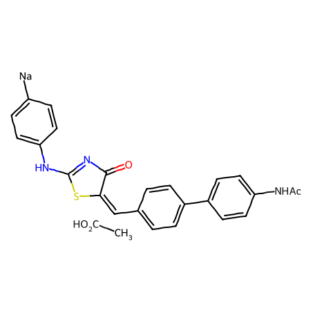 CC(=O)Nc1ccc(-c2ccc(C=C3SC(Nc4cc[c]([Na])cc4)=NC3=O)cc2)cc1.CC(=O)O